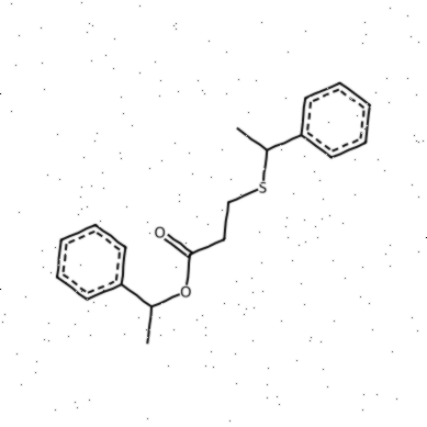 CC(OC(=O)CCSC(C)c1ccccc1)c1ccccc1